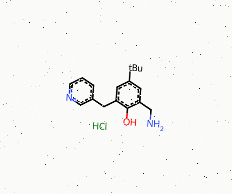 CC(C)(C)c1cc(CN)c(O)c(Cc2cccnc2)c1.Cl